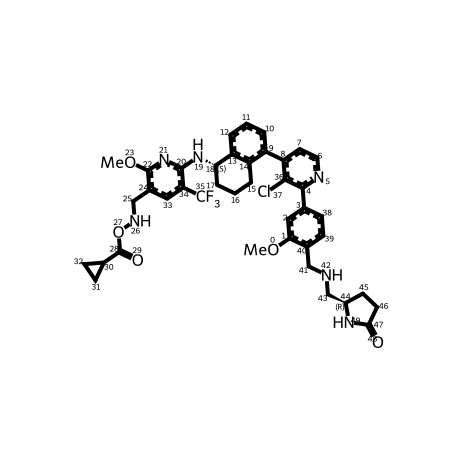 COc1cc(-c2nccc(-c3cccc4c3CCC[C@@H]4Nc3nc(OC)c(CNOC(=O)C4CC4)cc3C(F)(F)F)c2Cl)ccc1CNC[C@H]1CCC(=O)N1